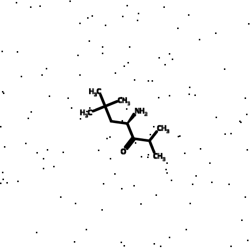 CC(C)C(=O)[C@H](N)CC(C)(C)C